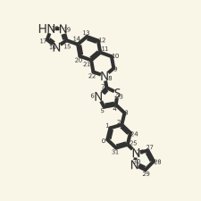 c1cc(Cc2cnc(N3CCc4ccc(-c5nc[nH]n5)cc4C3)s2)cc(-n2cccn2)c1